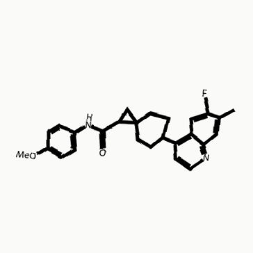 COc1ccc(NC(=O)C2CC23CCC(c2ccnc4cc(C)c(F)cc24)CC3)cc1